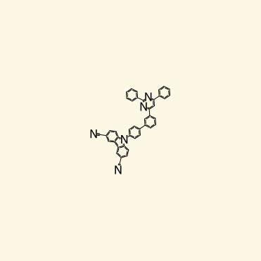 N#Cc1ccc2c(c1)c1cc(C#N)ccc1n2-c1ccc(-c2cccc(-c3cc(-c4ccccc4)nc(-c4ccccc4)n3)c2)cc1